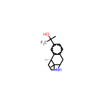 CC(O)(c1ccc2c(c1)[C@]1(C)CCNC(C2)C1(C)C)C(F)(F)F